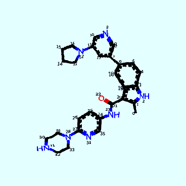 Cc1[nH]c2ccc(-c3cncc(N4CCCC4)c3)cc2c1C(=O)Nc1ccc(N2CCNCC2)nc1